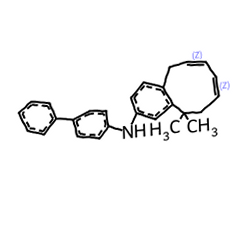 CC1(C)C/C=C\C=C/Cc2ccc(Nc3ccc(-c4ccccc4)cc3)cc21